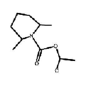 CC(Cl)OC(=O)N1C(C)CCCC1C